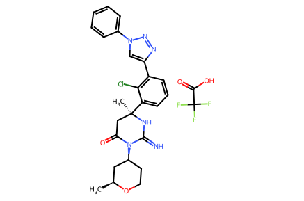 C[C@H]1C[C@@H](N2C(=N)N[C@](C)(c3cccc(-c4cn(-c5ccccc5)nn4)c3Cl)CC2=O)CCO1.O=C(O)C(F)(F)F